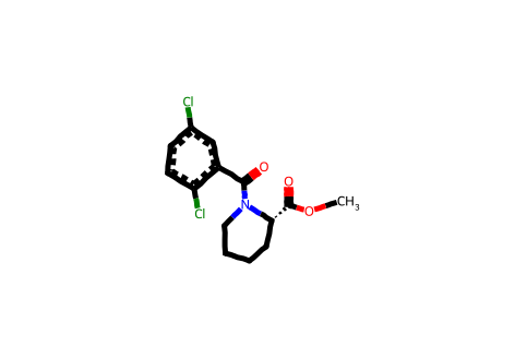 COC(=O)[C@@H]1CCCCN1C(=O)c1cc(Cl)ccc1Cl